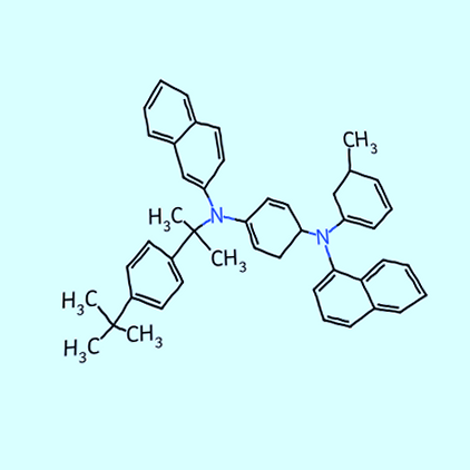 CC1C=CC=C(N(c2cccc3ccccc23)C2C=CC(N(c3ccc4ccccc4c3)C(C)(C)c3ccc(C(C)(C)C)cc3)=CC2)C1